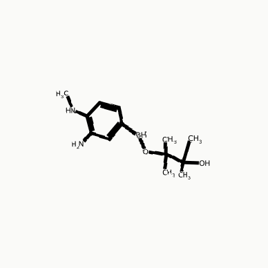 CNc1ccc(BOC(C)(C)C(C)(C)O)cc1N